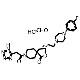 O=C(Cc1nnn[nH]1)N1CCC2(CC1)C[C@H](CCN1CCN(c3ccc(F)cc3)CC1)OC2=O.O=CO